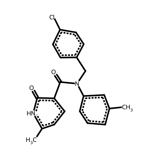 Cc1cccc(N(Cc2ccc(Cl)cc2)C(=O)c2ccc(C)[nH]c2=O)c1